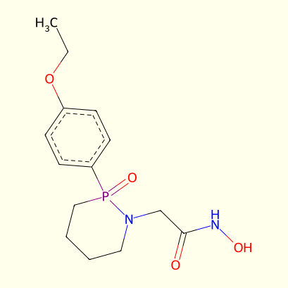 CCOc1ccc(P2(=O)CCCCN2CC(=O)NO)cc1